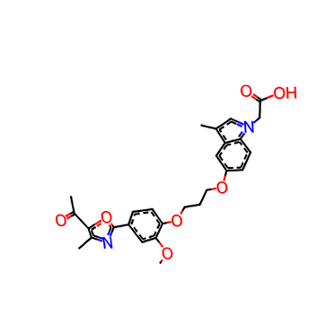 COc1cc(-c2nc(C)c(C(C)=O)o2)ccc1OCCCOc1ccc2c(c1)c(C)cn2CC(=O)O